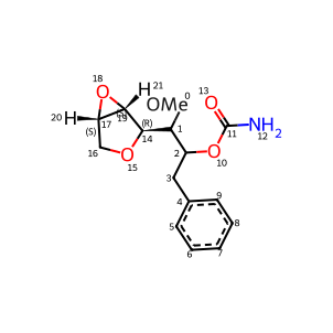 COC(C(Cc1ccccc1)OC(N)=O)[C@H]1OC[C@@H]2O[C@@H]21